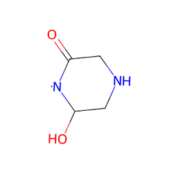 O=C1CNCC(O)[N]1